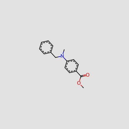 COC(=O)c1ccc(N(C)Cc2ccccc2)cc1